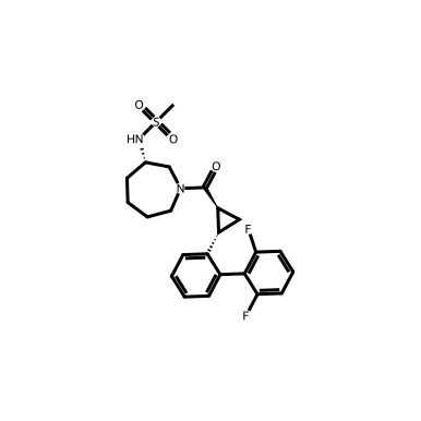 CS(=O)(=O)N[C@H]1CCCCN(C(=O)[C@H]2C[C@@H]2c2ccccc2-c2c(F)cccc2F)C1